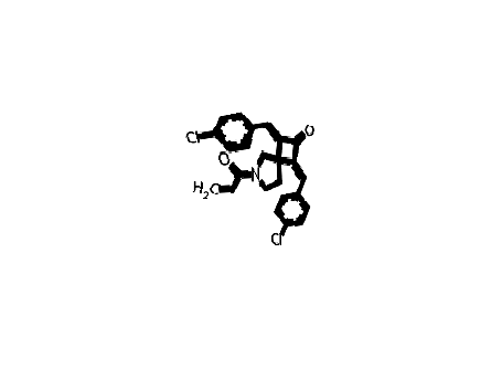 C=CC(=O)N1CCC2(C1)/C(=C\c1ccc(Cl)cc1)C(=O)/C2=C/c1ccc(Cl)cc1